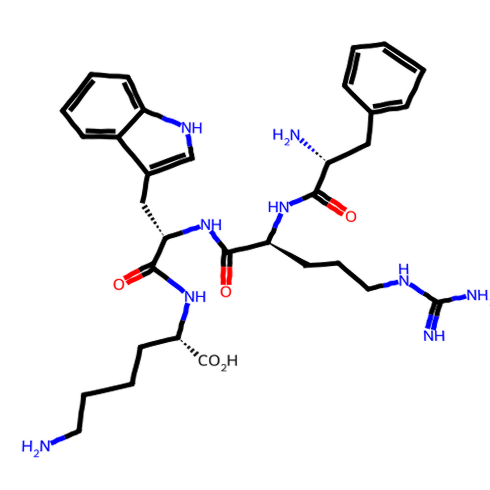 N=C(N)NCCC[C@H](NC(=O)[C@H](N)Cc1ccccc1)C(=O)N[C@@H](Cc1c[nH]c2ccccc12)C(=O)N[C@@H](CCCCN)C(=O)O